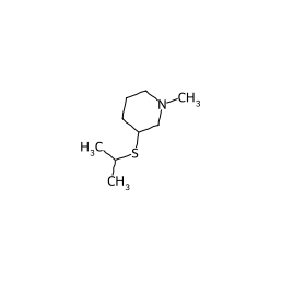 CC(C)SC1CCCN(C)C1